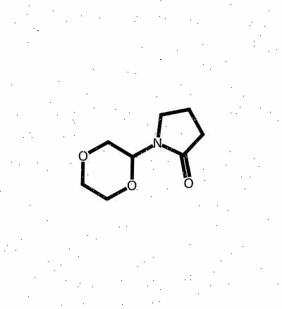 O=C1CCCN1[C]1COCCO1